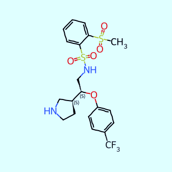 CS(=O)(=O)c1ccccc1S(=O)(=O)NC[C@@H](Oc1ccc(C(F)(F)F)cc1)[C@H]1CCNC1